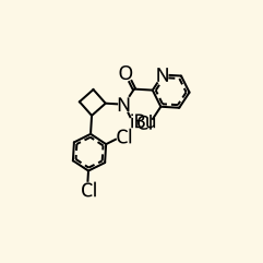 CCC(C)N(C(=O)c1ncccc1Cl)C1CCC1c1ccc(Cl)cc1Cl